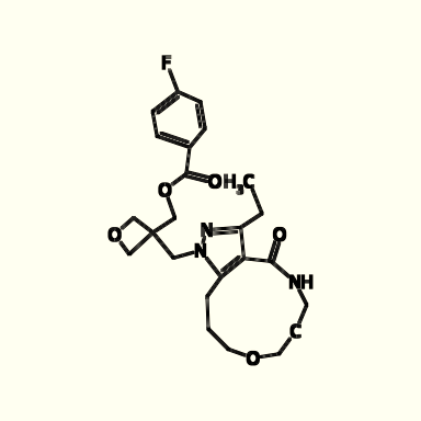 CCc1nn(CC2(COC(=O)c3ccc(F)cc3)COC2)c2c1C(=O)NCCCOCCC2